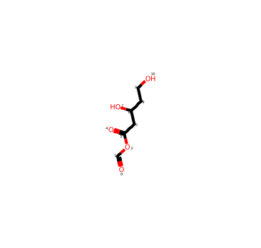 O=COC(=O)CC(O)CCO